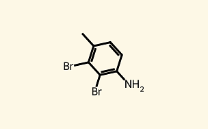 Cc1ccc(N)c(Br)c1Br